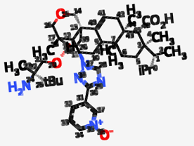 CC(C)[C@@H](C)[C@@]1(C)CC[C@]2(C)[C@H]3CC[C@@H]4[C@@]5(COC[C@@]4(C)[C@@H](OC[C@](C)(N)C(C)(C)C)[C@H](n4cnc(-c6ccc[n+]([O-])c6)n4)C5)C3=CC[C@@]2(C)[C@@H]1C(=O)O